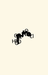 Cc1cc(C(C)c2ccc(=O)n(CCNS(C)(=O)=O)n2)[nH]c1C(=O)c1ccc(Cl)cc1